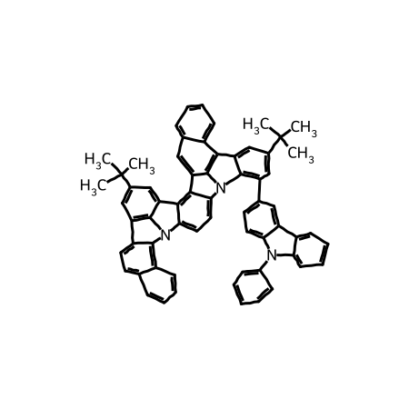 CC(C)(C)c1cc(-c2ccc3c(c2)c2ccccc2n3-c2ccccc2)c2c(c1)c1c3ccccc3cc3c4c5c6cc(C(C)(C)C)cc7c8ccc9ccccc9c8n(c5ccc4n2c31)c76